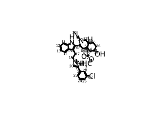 COC(=O)[C@@H]1[C@H]2C[C@@H](c3[nH]c4ccccc4c3CCn3cc(-c4cccc(Cl)c4)[nH]3)N(C#N)C[C@@H]2CC[C@@H]1O